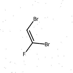 FC(Br)=CBr